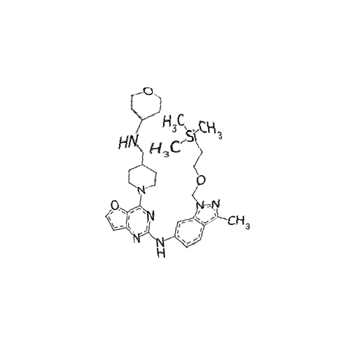 Cc1nn(COCC[Si](C)(C)C)c2cc(Nc3nc(N4CCC(CNC5CCOCC5)CC4)c4occc4n3)ccc12